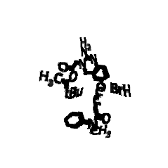 Br.CC(OC(=O)CN1Cc2cc(OCCCC(=O)N(C)C3CCCCC3)ccc2N=C1N)C(C)(C)C